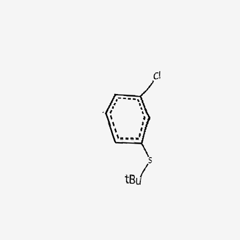 CC(C)(C)Sc1c[c]cc(Cl)c1